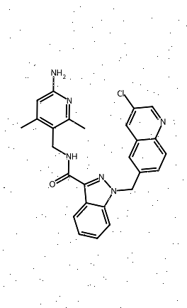 Cc1cc(N)nc(C)c1CNC(=O)c1nn(Cc2ccc3ncc(Cl)cc3c2)c2ccccc12